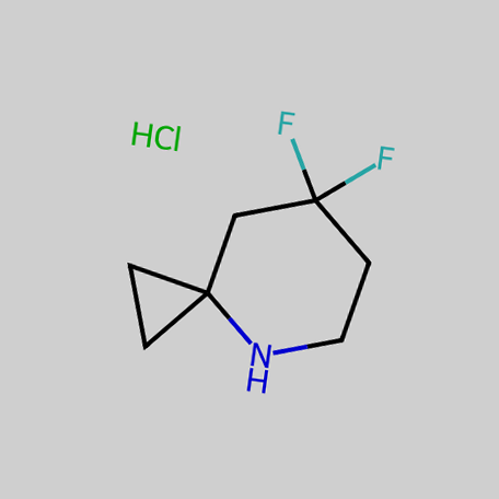 Cl.FC1(F)CCNC2(CC2)C1